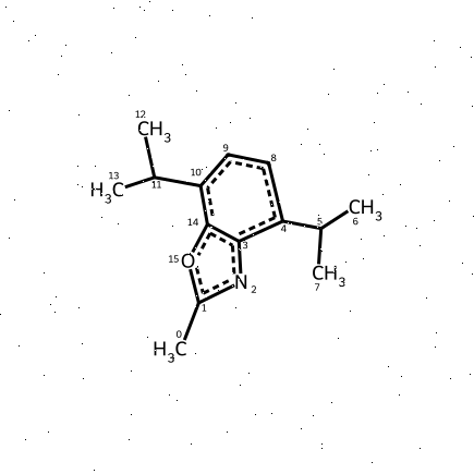 Cc1nc2c(C(C)C)ccc(C(C)C)c2o1